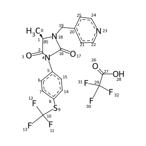 C[C@@H]1C(=O)N(c2ccc(SC(F)(F)F)cc2)C(=O)N1Cc1ccncc1.O=C(O)C(F)(F)F